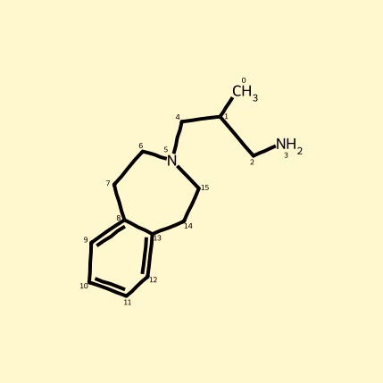 CC(CN)CN1CCc2ccccc2CC1